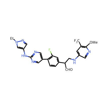 CCn1cc(Nc2ncc(-c3ccc(C(C=O)CNc4cnc(OC)c(C(F)(F)F)c4)cc3F)cn2)cn1